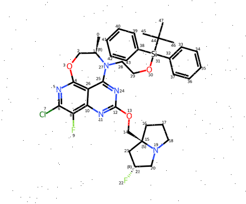 C[C@@H]1COc2nc(Cl)c(F)c3nc(OC[C@@]45CCCN4C[C@H](F)C5)nc(c23)N1CCO[Si](c1ccccc1)(c1ccccc1)C(C)(C)C